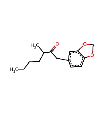 CCCCC(C)C(=O)Cc1ccc2c(c1)OCO2